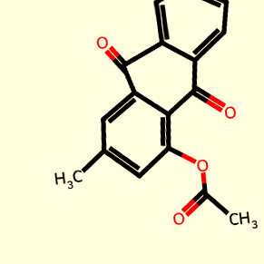 CC(=O)Oc1cc(C)cc2c1C(=O)c1ccccc1C2=O